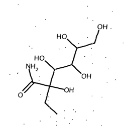 CCC(O)(C(N)=O)C(O)C(O)C(O)CO